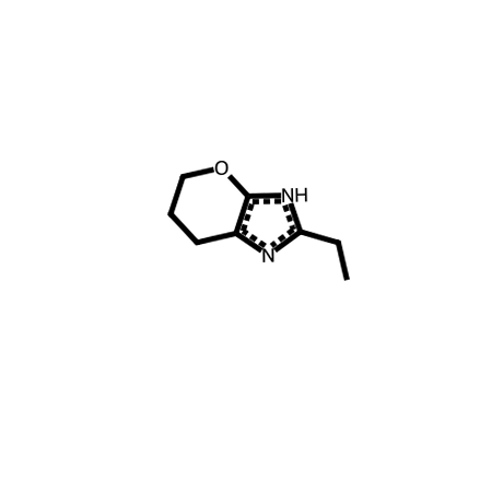 CCc1nc2c([nH]1)OCCC2